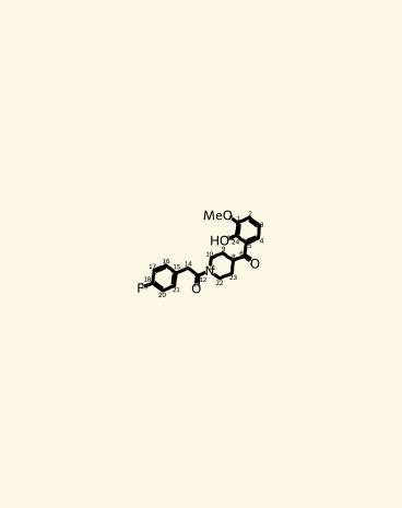 COc1cccc(C(=O)C2CCN(C(=O)Cc3ccc(F)cc3)CC2)c1O